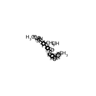 COCc1nc(-c2ccc(-c3ccc(C(=O)N4CCc5cc6c(cc54)C4(CCN(C)CC4)CO6)cc3)c(C)c2)no1.Cl